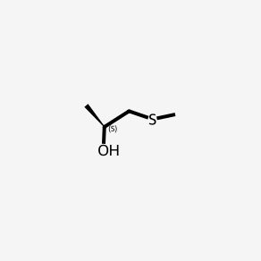 CSC[C@H](C)O